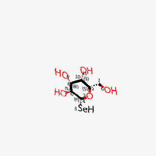 OC[C@@H]1O[C@H]([SeH])[C@@H](O)[C@H](O)[C@@H]1O